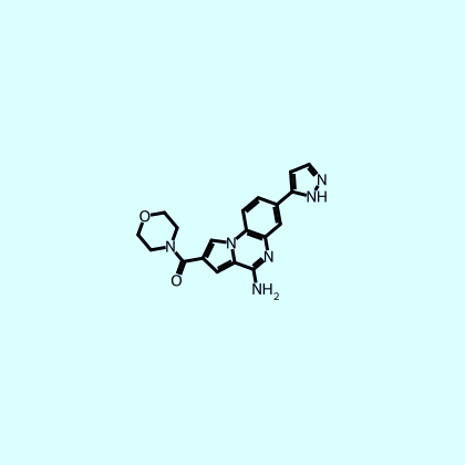 Nc1nc2cc(-c3ccn[nH]3)ccc2n2cc(C(=O)N3CCOCC3)cc12